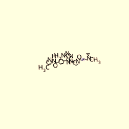 Cc1ccnc(NC(=O)c2ccc(-c3nn([C@@H]4CCCN(C(=O)/C=C/CN(C)C5CC5)C4)c4ncnc(N)c34)cc2)c1